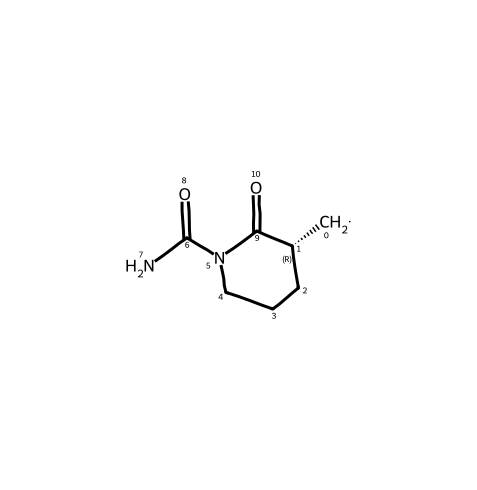 [CH2][C@@H]1CCCN(C(N)=O)C1=O